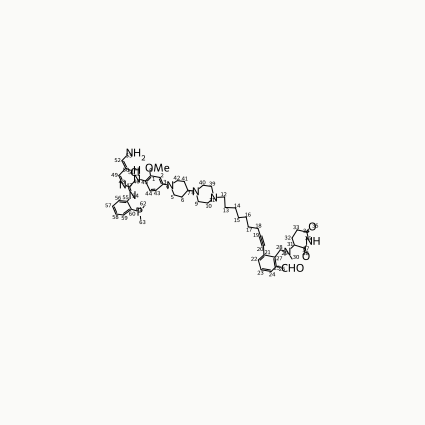 COc1cc(N2CCC(N3CCN(CCCCCCCC#Cc4cccc(C=O)c4CN(C)C4CCC(=O)NC4=O)CC3)CC2)ccc1NC(/N=C\C(Cl)=C\N)=N/c1ccccc1P(C)C